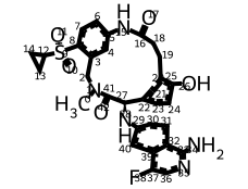 CN1Cc2cc(ccc2S(=O)(=O)C2CC2)NC(=O)CCc2cc(ccc2O)[C@@H](Nc2ccc3c(N)ncc(F)c3c2)C1=O